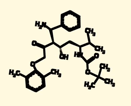 Cc1cccc(C)c1OCC(=O)[C@@H](C(N)c1ccccc1)[C@@H](O)C[C@H](NC(=O)OC(C)(C)C)C(C)C